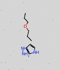 CCCOCCC.NN.c1cc[nH]c1